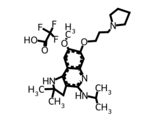 COc1cc2c3c(c(NC(C)C)nc2cc1OCCCN1CCCC1)CC(C)(C)N3.O=C(O)C(F)(F)F